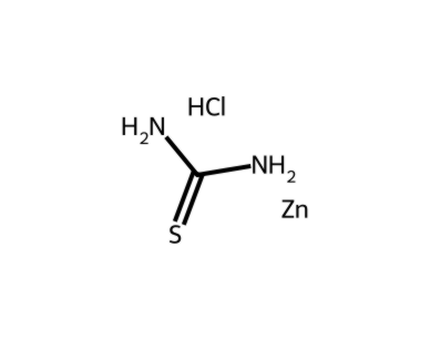 Cl.NC(N)=S.[Zn]